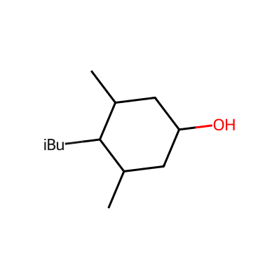 CCC(C)C1C(C)CC(O)CC1C